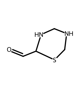 O=CC1NCNCS1